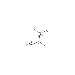 CCCC(C)=[N+](C)C